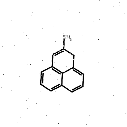 [SiH3]C1=Cc2cccc3cccc(c23)C1